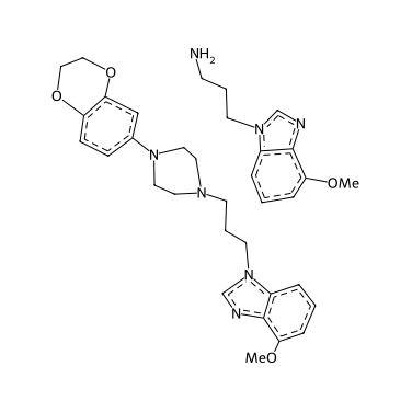 COc1cccc2c1ncn2CCCN.COc1cccc2c1ncn2CCCN1CCN(c2ccc3c(c2)OCCO3)CC1